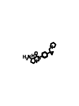 N[C@@H]1CCN2CN(c3ccc(C4(CN5CCCC5)CC4)cc3)C(=O)[C@H]12